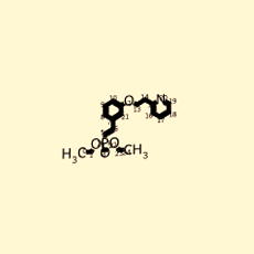 CCOP(=O)(C=Cc1cccc(OCCc2ccccn2)c1)OCC